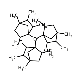 CC1C(C)[C]2([Cr]([C]34CC(C)(CC3C)C(C)C4C)[C]34CC(C)(CC3C)C(C)C4C)CC1(C)CC2C